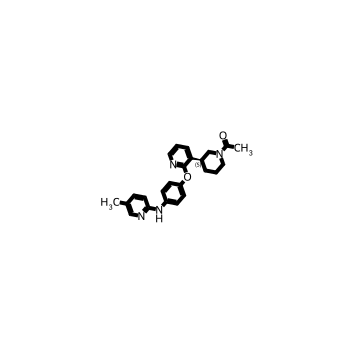 CC(=O)N1CCC[C@@H](c2cccnc2Oc2ccc(Nc3ccc(C)cn3)cc2)C1